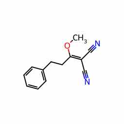 COC(CCc1ccccc1)=C(C#N)C#N